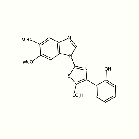 COc1cc2ncn(-c3nc(-c4ccccc4O)c(C(=O)O)s3)c2cc1OC